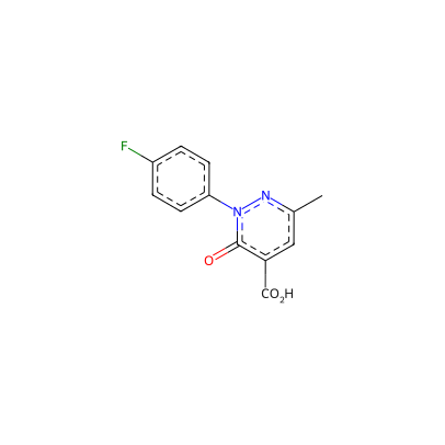 Cc1cc(C(=O)O)c(=O)n(-c2ccc(F)cc2)n1